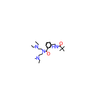 CCN(C)CCN(CCN(CC)CC)C(=O)c1cccc(CNC(=O)C(C)(C)C)c1